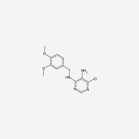 COc1ccc(CNc2ncnc(Cl)c2N)cc1OC